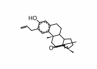 C=CCc1cc2c(cc1O)CCC1C3CC[C@@]4(C)CCC(=O)[C@@]34CC[C@]21C